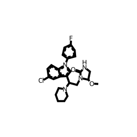 COC1CNC(=O)N1CC(c1cn(-c2ccc(F)cc2)c2ccc(Cl)cc12)N1CCCCC1